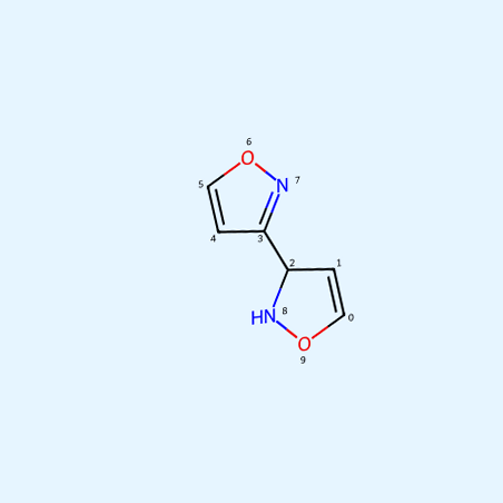 C1=CC(c2ccon2)NO1